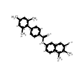 Cc1cc(C)c(-c2ccc(C(=O)Oc3ccc4c(C(F)(F)F)c(C)c(F)cc4c3)cc2)c(C)c1